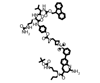 CCCN(CCCNC(=O)OC(C)(C)C)C(=O)C1=Cc2ccc(-c3cccc(S(=O)(=O)N4CC(CN(C)C(=O)Oc5ccc(NC(=O)[C@H](CCCNC(N)=O)NC(=O)[C@@H](NC(=O)OCC6c7ccccc7-c7ccccc76)C(C)C)cc5)C4)c3)cc2N=C(N)C1